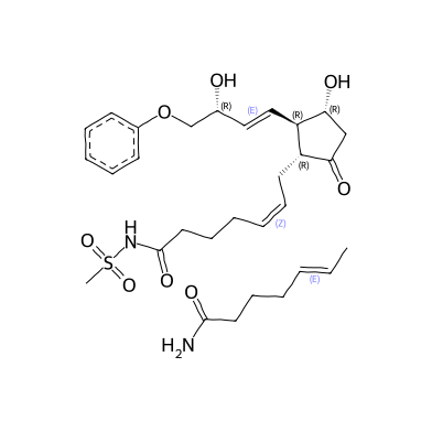 C/C=C/CCCC(N)=O.CS(=O)(=O)NC(=O)CCC/C=C\C[C@H]1C(=O)C[C@@H](O)[C@@H]1/C=C/[C@@H](O)COc1ccccc1